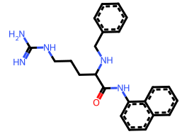 N=C(N)NCCCC(NCc1ccccc1)C(=O)Nc1cccc2ccccc12